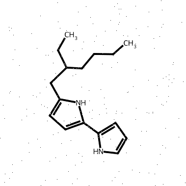 CCCCC(CC)Cc1ccc(-c2ccc[nH]2)[nH]1